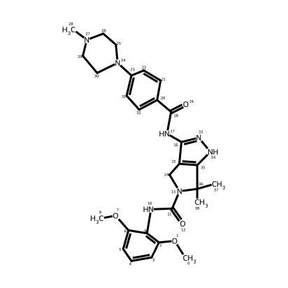 COc1cccc(OC)c1NC(=O)N1Cc2c(NC(=O)c3ccc(N4CCN(C)CC4)cc3)n[nH]c2C1(C)C